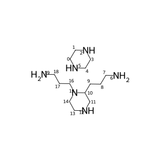 C1CNCCN1.NCCCC1CNCCN1CCCN